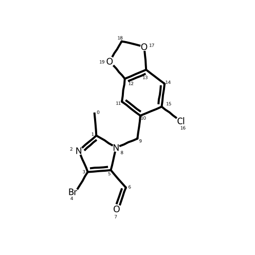 Cc1nc(Br)c(C=O)n1Cc1cc2c(cc1Cl)OCO2